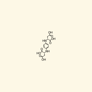 O=C(O)C[C@H](Nc1ccc(N[C@@H](CC(=O)O)C(=O)O)cc1)C(=O)O